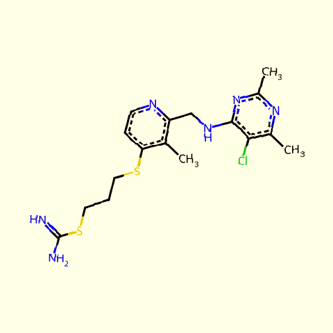 Cc1nc(C)c(Cl)c(NCc2nccc(SCCCSC(=N)N)c2C)n1